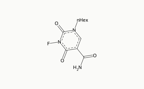 CCCCCCn1cc(C(N)=O)c(=O)n(F)c1=O